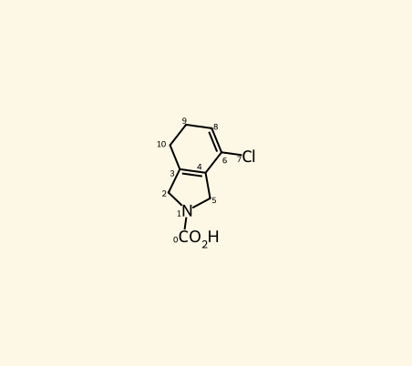 O=C(O)N1CC2=C(C1)C(Cl)=CCC2